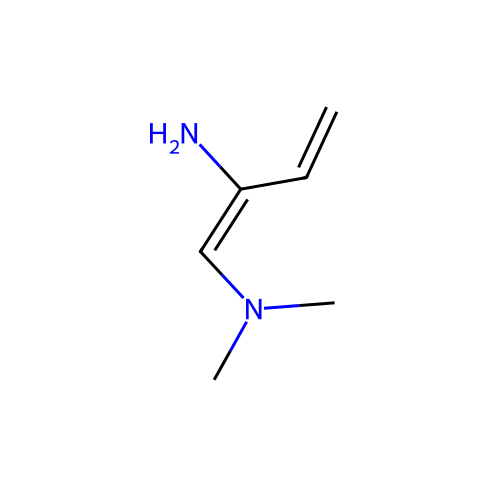 C=C/C(N)=C\N(C)C